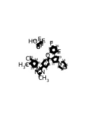 Cc1nc(C2CCN(C(=O)[C@@H]3C[C@H](N4CCOCC4)C[C@H]3c3ccc(F)cc3F)CC2)n(-c2ccc(Cl)c(C)c2)n1.O=C(O)C(F)(F)F